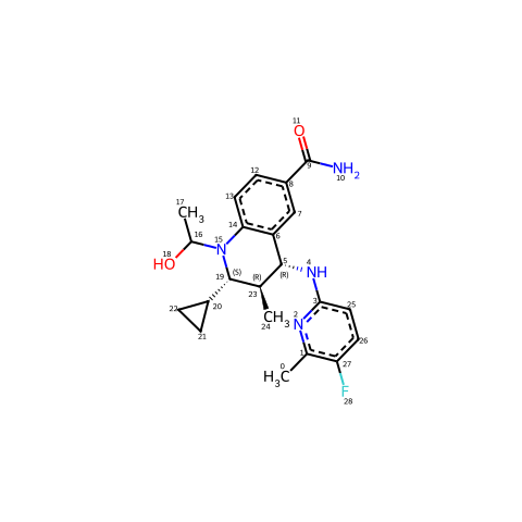 Cc1nc(N[C@H]2c3cc(C(N)=O)ccc3N(C(C)O)[C@@H](C3CC3)[C@@H]2C)ccc1F